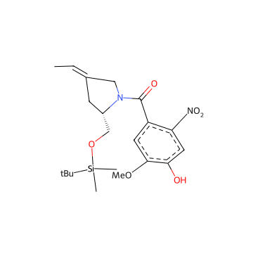 C/C=C1\C[C@@H](CO[Si](C)(C)C(C)(C)C)N(C(=O)c2cc(OC)c(O)cc2[N+](=O)[O-])C1